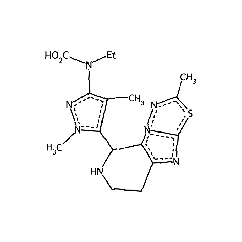 CCN(C(=O)O)c1nn(C)c(C2NCCc3nc4sc(C)nn4c32)c1C